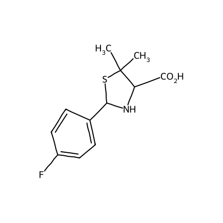 CC1(C)SC(c2ccc(F)cc2)NC1C(=O)O